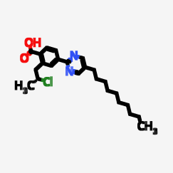 CCCCCCCCCCc1cnc(-c2ccc(C(=O)O)c(C[C@@H](C)Cl)c2)nc1